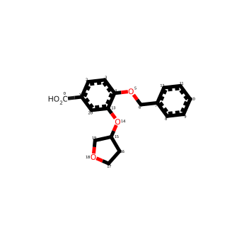 O=C(O)c1ccc(OCc2ccccc2)c(OC2CCOC2)c1